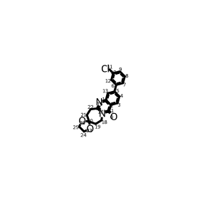 O=c1c2ccc(-c3cccc(Cl)c3)cc2nc2n1CCC1(CC2)OCCO1